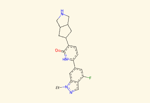 CCn1ncc2c(F)cc(-c3ccc(C4CC5CNCC5C4)c(=O)[nH]3)cc21